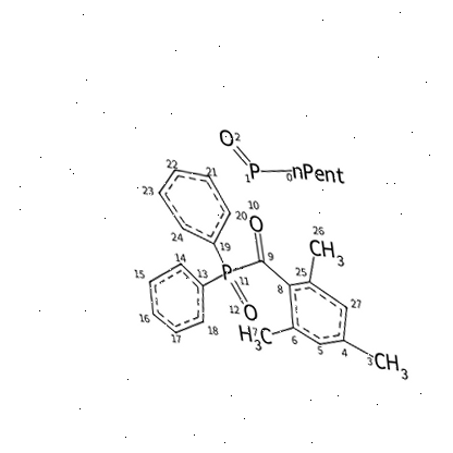 CCCCCP=O.Cc1cc(C)c(C(=O)P(=O)(c2ccccc2)c2ccccc2)c(C)c1